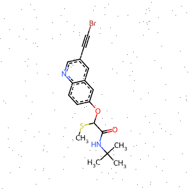 CSC(Oc1ccc2ncc(C#CBr)cc2c1)C(=O)NC(C)(C)C